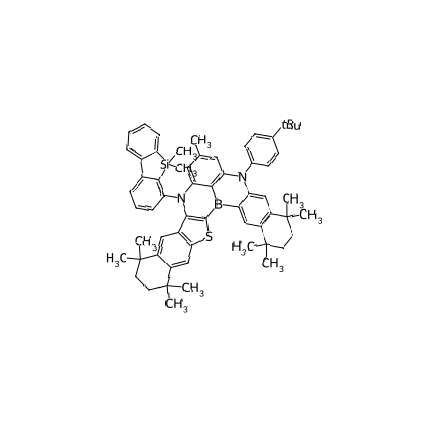 Cc1cc2c3c(c1)N(c1cccc4c1[Si](C)(C)c1ccccc1-4)c1c(sc4cc5c(cc14)C(C)(C)CCC5(C)C)B3c1cc3c(cc1N2c1ccc(C(C)(C)C)cc1)C(C)(C)CCC3(C)C